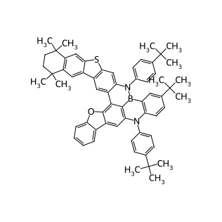 CC(C)(C)c1ccc(N2B3c4cc(C(C)(C)C)ccc4N(c4ccc(C(C)(C)C)cc4)c4cc5c(oc6ccccc65)c(c43)-c3cc4c(cc32)sc2cc3c(cc24)C(C)(C)CCC3(C)C)cc1